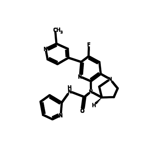 Cc1cc(-c2nc3c(cc2F)N2CC[C@H](C2)N3C(=O)Nc2ccccn2)ccn1